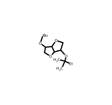 CCC(C)OC1COC2C(OC(C)(C)CC)COC12